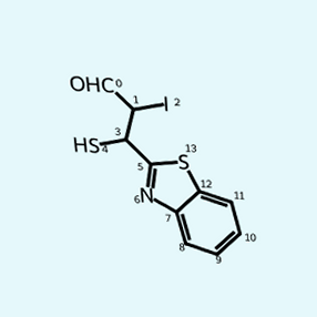 O=CC(I)C(S)c1nc2ccccc2s1